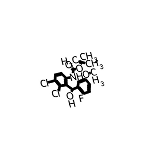 COc1ccc(F)c(C(O)c2c(NC(=O)OC(C)(C)C)ccc(Cl)c2Cl)c1